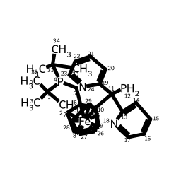 CC(C)(C)P(C[C]12[CH]3[CH]4[CH]5[C]1(C(P)(c1ccccn1)c1ccccn1)[Fe]43521678[CH]2[CH]1[CH]6[CH]7[CH]28)C(C)(C)C